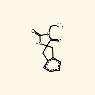 O=C1NC2(Cc3ccccc3C2)C(=O)N1CC(F)(F)F